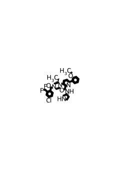 CCOc1ccccc1-c1ccc(N2CCN(C(=O)c3ccc(Cl)cc3C(F)F)C[C@H]2CC)c(C(=O)N[C@@H]2CCNC2)n1